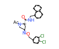 CC(=O)N1C/C(=N/OCc2ccc(Cl)c(Cl)c2)C[C@H]1C(=O)NCc1cccc2ccccc12